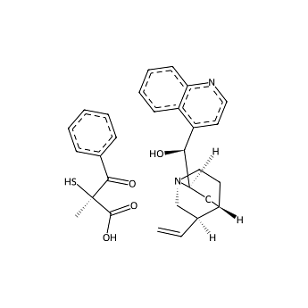 C=C[C@H]1C[N@]2CC[C@H]1C[C@@H]2[C@@H](O)c1ccnc2ccccc12.C[C@@](S)(C(=O)O)C(=O)c1ccccc1